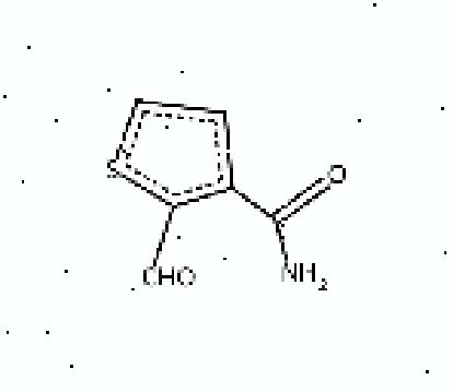 NC(=O)c1ccsc1C=O